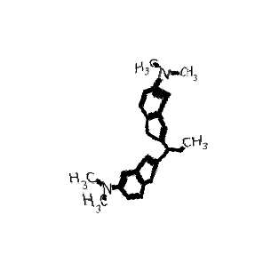 CCC(C1=Cc2cc(N(C)C)ccc2C1)C1=Cc2cc(N(C)C)ccc2C1